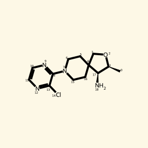 C[C@@H]1OCC2(CCN(c3nccnc3Cl)CC2)[C@@H]1N